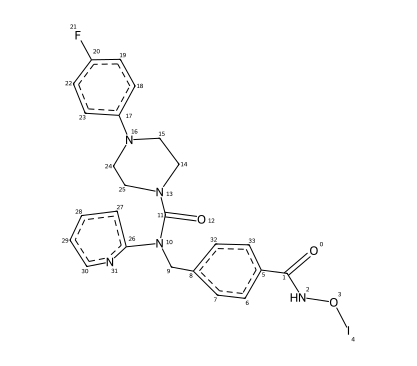 O=C(NOI)c1ccc(CN(C(=O)N2CCN(c3ccc(F)cc3)CC2)c2ccccn2)cc1